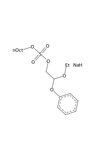 CCCCCCCCOS(=O)(=O)OCC(OCC)Oc1ccccc1.[NaH]